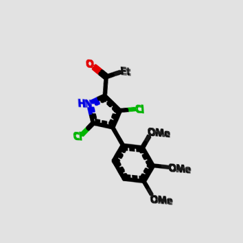 CCC(=O)c1[nH]c(Cl)c(-c2ccc(OC)c(OC)c2OC)c1Cl